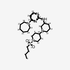 CCCCS(=O)(=O)N1CCC(N2CCCC(Nc3nccc(N4CCCCCC4)n3)C2)CC1